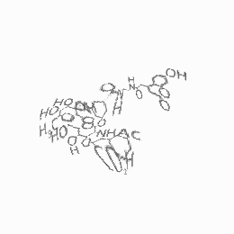 CCC1C[C@H](C(=O)NCCNC(=O)Cc2cc(=O)oc3cc(O)ccc23)C[C@@H](O[C@@H]2OC(CO)[C@H](O)C(O[C@@H](CC3CCCCC3)C(=O)O)C2NC(C)=O)C1OC1O[C@@H](C)C(O)C(O)[C@@H]1O